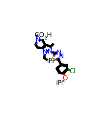 CC(C)CN1C2=C(CN(C(=O)O)CC2)C(C)N1c1nnc(-c2ccc(OC(C)C)c(Cl)c2)s1